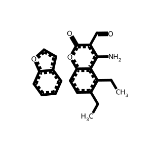 CCc1ccc2oc(=O)c(C=O)c(N)c2c1CC.c1ccc2occc2c1